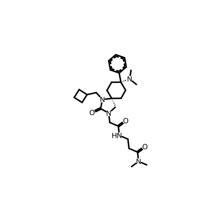 CN(C)C(=O)CCNC(=O)CN1C[C@]2(CC[C@@](c3ccccc3)(N(C)C)CC2)N(CC2CCC2)C1=O